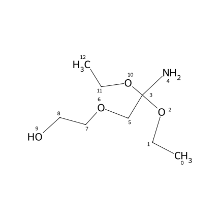 CCOC(N)(COCCO)OCC